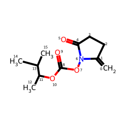 C=C1CCC(=O)N1OC(=O)OC(C)C(C)C